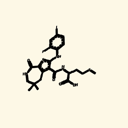 CSCCC(NC(=O)c1c(Nc2ccc(I)cc2F)sc2c1CC(C)(C)CNC2=O)C(=O)O